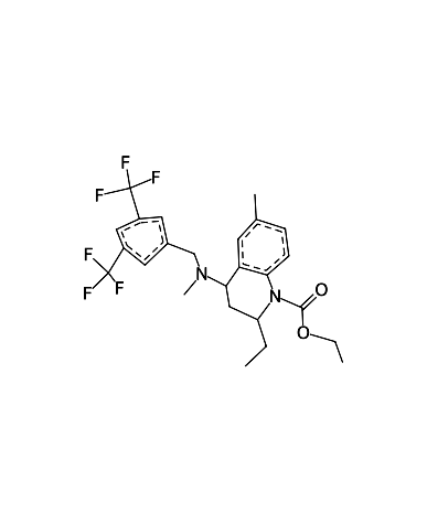 CCOC(=O)N1c2ccc(C)cc2C(N(C)Cc2cc(C(F)(F)F)cc(C(F)(F)F)c2)CC1CC